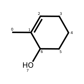 CC1=CCCCC1O